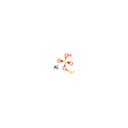 O=S(=O)(O)OS.[Al]